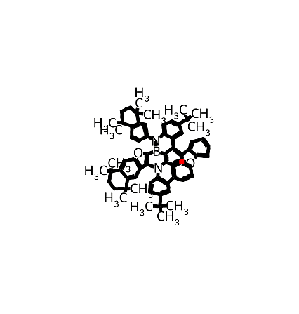 CC(C)(C)c1ccc2c(c1)-c1c3c(cc4oc5ccccc5c14)N(c1ccc(C(C)(C)C)cc1-c1ccccc1)c1c(oc4cc5c(cc14)C(C)(C)CCC5(C)C)B3N2c1ccc2c(c1)C(C)(C)CCC2(C)C